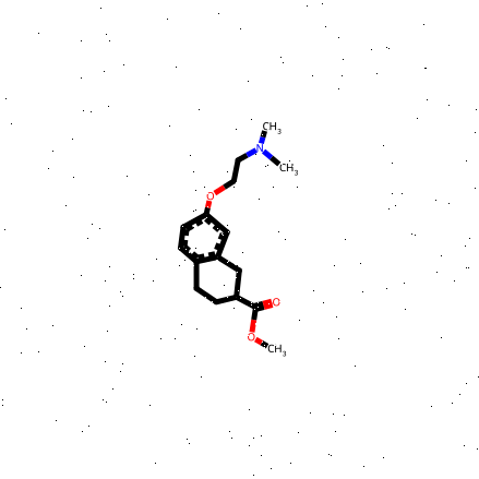 COC(=O)C1CCc2ccc(OCCN(C)C)cc2C1